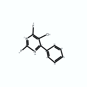 Fc1nc(F)c(Cl)c(-c2ccccc2)n1